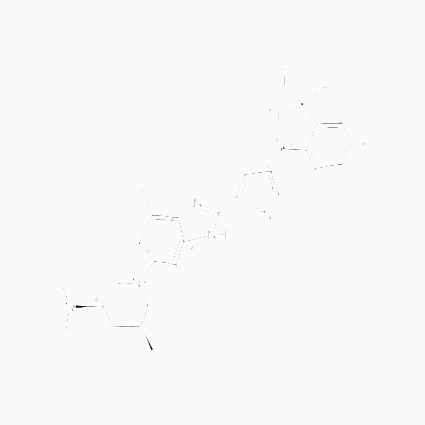 C[C@H]1C[C@@H](N(C)C)CN(c2cc(F)c3nc(-c4cc(C(=O)c5ccccc5C(F)(F)F)c[nH]4)[nH]c3c2)C1